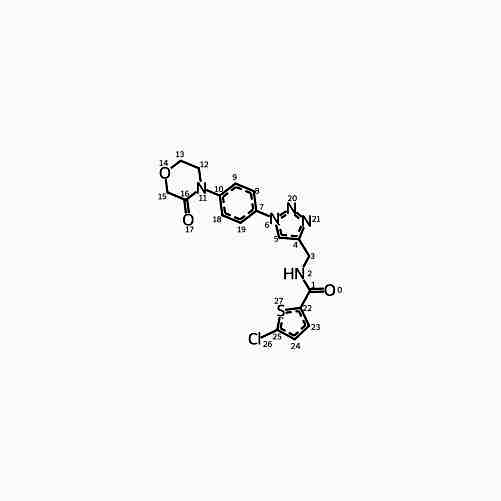 O=C(NCc1cn(-c2ccc(N3CCOCC3=O)cc2)nn1)c1ccc(Cl)s1